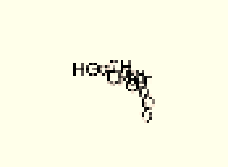 CC(C)(c1ccc(O)cc1)c1ccc(NC(=O)Oc2ccc(OCc3ccccc3)cc2)cc1